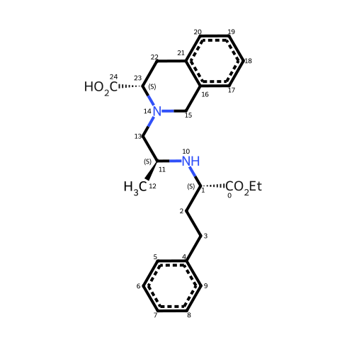 CCOC(=O)[C@H](CCc1ccccc1)N[C@@H](C)CN1Cc2ccccc2C[C@H]1C(=O)O